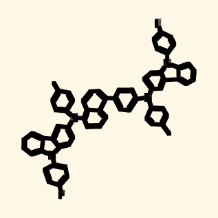 Cc1ccc(N(c2ccc(-c3cccc4c(N(c5ccc(C)cc5)c5ccc6c(c5)c5ccccc5n6-c5ccc(F)cc5)cccc34)cc2)c2ccc3c(c2)c2ccccc2n3-c2ccc(F)cc2)cc1